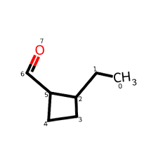 CCC1CCC1C=O